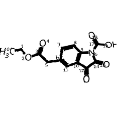 CCOC(=O)Cc1ccc2c(c1)C(=O)C(=O)N2C(=O)O